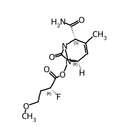 COCC[C@@H](F)C(=O)ON1C(=O)N2C[C@H]1C=C(C)[C@H]2C(N)=O